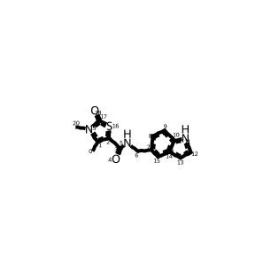 Cc1c(C(=O)NCc2ccc3[nH]ccc3c2)sc(=O)n1C